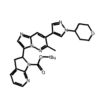 Cc1nn2c(C3Cc4cccnc4N3C(=O)OC(C)(C)C)cnc2cc1-c1cnn(C2CCOCC2)c1